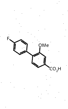 COc1cc(C(=O)O)ccc1-c1ccc(F)cc1